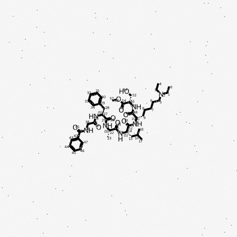 CCN(CC)CCCCC[C@H](NC(=O)[C@H](CC(C)C)NC(=O)[C@H](C)NC(=O)[C@H](Cc1ccccc1)NC(=O)CNC(=O)c1ccccc1)C(=O)N[C@@H](CO)C(=O)OC